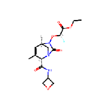 CCOC(=O)[C@H](F)ON1C(=O)N2C[C@H]1C=C(C)[C@H]2C(=O)NC1COC1